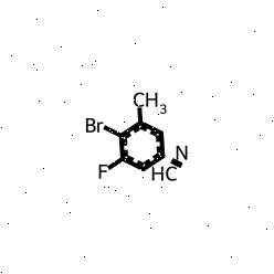 C#N.Cc1cccc(F)c1Br